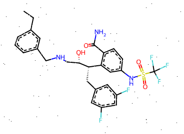 CCc1cccc(CNC[C@H](O)[C@@H](Cc2cc(F)cc(F)c2)c2cc(NS(=O)(=O)C(F)(F)F)ccc2C(N)=O)c1